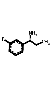 CC[C@H](N)c1cccc(F)c1